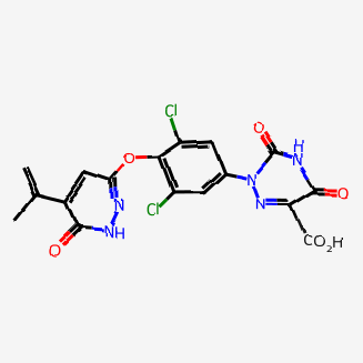 C=C(C)c1cc(Oc2c(Cl)cc(-n3nc(C(=O)O)c(=O)[nH]c3=O)cc2Cl)n[nH]c1=O